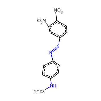 CCCCCCNc1ccc(N=Nc2ccc([N+](=O)[O-])c([N+](=O)[O-])c2)cc1